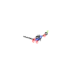 CCCCCCCCCCCC(=O)OCN1C(=O)CN2c3c(cccc31)[C@@H]1CN(CCCOc3ccc(F)cc3)CC[C@@H]12